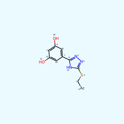 CC(=O)CSc1nnc(-c2cc(O)cc(O)c2)[nH]1